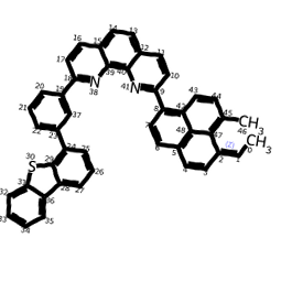 C/C=c1/ccc2ccc(-c3ccc4ccc5ccc(-c6cccc(-c7cccc8c7sc7ccccc78)c6)nc5c4n3)c3ccc(C)c1c23